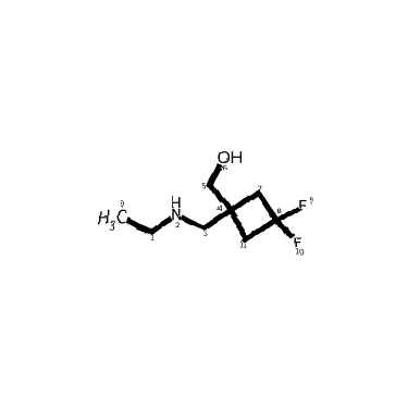 CCNCC1(CO)CC(F)(F)C1